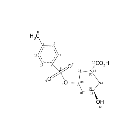 Cc1ccc(S(=O)(=O)O[C@H]2C[C@H](O)C[C@@H](C(=O)O)C2)cc1